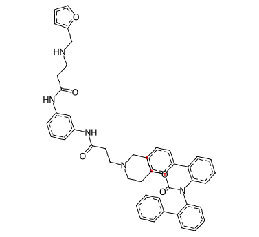 O=C(CCNCc1ccco1)Nc1cccc(NC(=O)CCN2CCC(OC(=O)N(c3ccccc3-c3ccccc3)c3ccccc3-c3ccccc3)CC2)c1